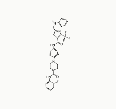 CN(Cc1nc(C(F)(F)F)c(C(=O)Nc2ccc(N3CCN(C(=O)Nc4ccccc4F)CC3)nc2)s1)c1ccccc1